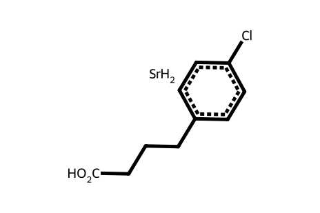 O=C(O)CCCc1ccc(Cl)cc1.[SrH2]